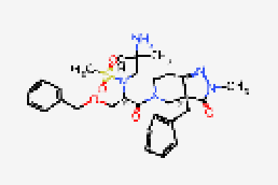 CN1N=C2CCN(C(=O)[C@@H](COCc3ccccc3)N(CC(C)(C)N)S(C)(=O)=O)C[C@@]2(Cc2ccccc2)C1=O